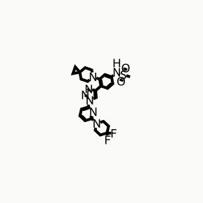 CS(=O)(=O)Nc1ccc(-c2cn(-c3cccc(N4CCC(F)(F)CC4)n3)nn2)c(N2CCC3(CC2)CC3)c1